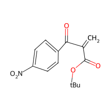 C=C(C(=O)OC(C)(C)C)C(=O)c1ccc([N+](=O)[O-])cc1